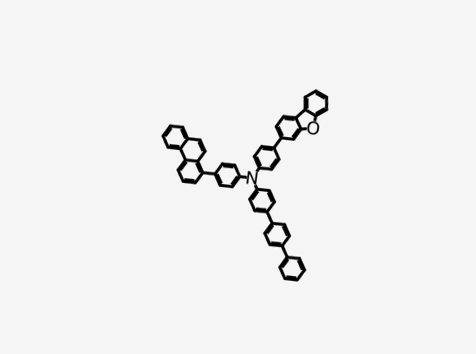 c1ccc(-c2ccc(-c3ccc(N(c4ccc(-c5ccc6c(c5)oc5ccccc56)cc4)c4ccc(-c5cccc6c5ccc5ccccc56)cc4)cc3)cc2)cc1